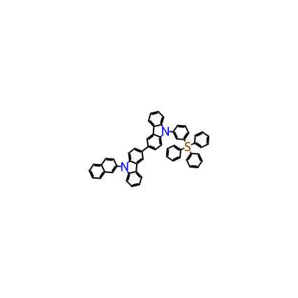 c1ccc(S(c2ccccc2)(c2ccccc2)c2cccc(-n3c4ccccc4c4cc(-c5ccc6c(c5)c5ccccc5n6-c5ccc6ccccc6c5)ccc43)c2)cc1